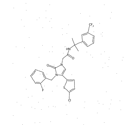 CC(C)(NC(=O)Cn1cc(-c2ccc(Cl)s2)n(Cc2ccccc2F)c1=O)c1cccc(C(F)(F)F)c1